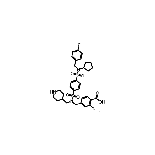 Nc1cc(CN(CC2CCNCC2)S(=O)(=O)c2ccc(S(=O)(=O)N(Cc3ccc(Cl)cc3)C3CCCC3)cc2)ccc1C(=O)O